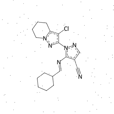 N#Cc1cnn(-c2nn3c(c2Cl)CCCC3)c1N=CC1CCCCC1